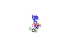 O=C1N2[C@@H](CC[C@H]2c2cc(F)ccc2F)OC12CCN(c1ccnc3ccnn13)CC2